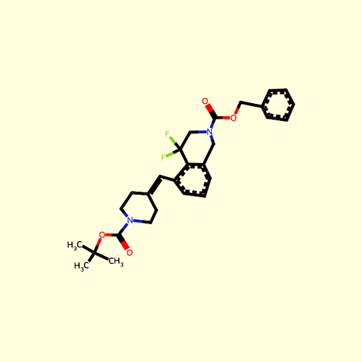 CC(C)(C)OC(=O)N1CCC(=Cc2cccc3c2C(F)(F)CN(C(=O)OCc2ccccc2)C3)CC1